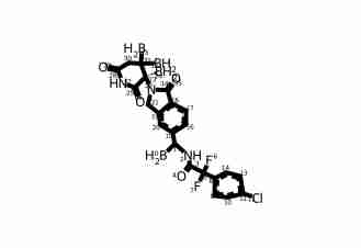 BC(NC(=O)C(F)(F)c1ccc(Cl)cc1)c1ccc2c(c1)CN([C@@]1(B)C(=O)NC(=O)CC1(B)B)C2=O